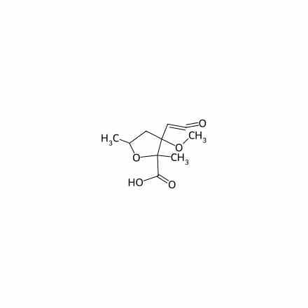 COC1(C=C=O)CC(C)OC1(C)C(=O)O